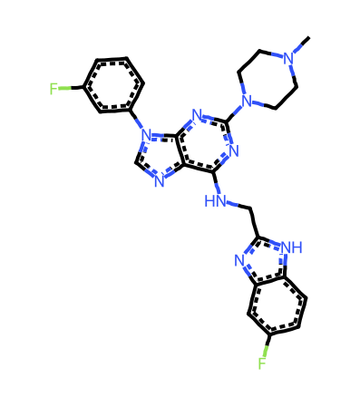 CN1CCN(c2nc(NCc3nc4cc(F)ccc4[nH]3)c3ncn(-c4cccc(F)c4)c3n2)CC1